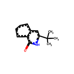 CC(C)(C)c1cc2ccccc2c(=O)[nH]1